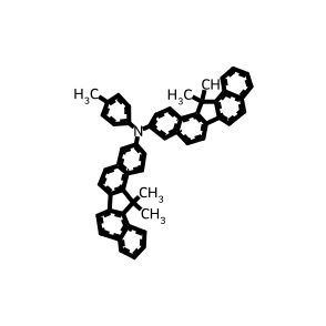 Cc1ccc(N(c2ccc3c4c(ccc3c2)-c2ccc3ccccc3c2C4(C)C)c2ccc3c4c(ccc3c2)-c2ccc3ccccc3c2C4(C)C)cc1